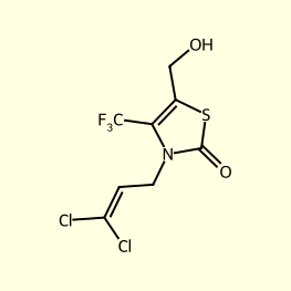 O=c1sc(CO)c(C(F)(F)F)n1CC=C(Cl)Cl